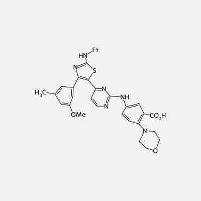 CCNc1nc(-c2cc(C)cc(OC)c2)c(-c2ccnc(Nc3ccc(N4CCOCC4)c(C(=O)O)c3)n2)s1